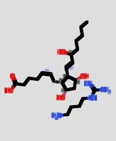 CCCCC[C@H](O)/C=C/[C@@H]1[C@@H](C/C=C\CCCC(=O)O)[C@@H](O)C[C@H]1O.N=C(N)NCCCCN